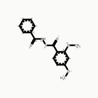 COc1ccc(C(=O)SNC(=O)c2ccccc2)c(OC)c1